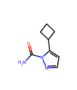 NC(=O)n1n[c]cc1C1CCC1